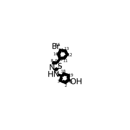 Oc1ccc(Nc2ncc(-c3cccc(Br)c3)s2)cc1